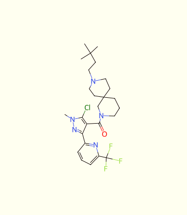 Cn1nc(-c2cccc(C(F)(F)F)n2)c(C(=O)N2CCCC3(CCN(CCC(C)(C)C)CC3)C2)c1Cl